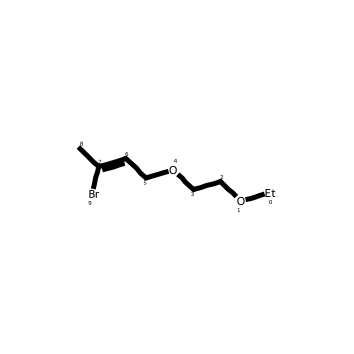 CCOCCOCC=C(C)Br